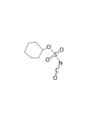 O=C=NS(=O)(=O)OC1CCCCC1